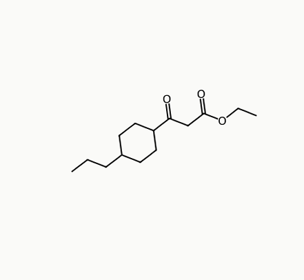 CCCC1CCC(C(=O)CC(=O)OCC)CC1